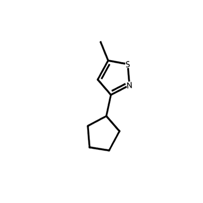 Cc1cc(C2CCCC2)ns1